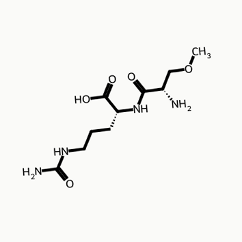 COC[C@H](N)C(=O)N[C@H](CCCNC(N)=O)C(=O)O